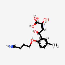 Cc1ccc(OCCCC#N)c(C(=O)/C=C(/O)C(=O)O)c1